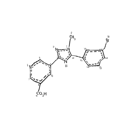 Cn1nc(-c2cncc(C(=O)O)c2)nc1-c1cccc(Br)c1